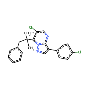 CCOC(=O)C(C)(Cc1ccccc1)c1c(Cl)cnc2c(-c3ccc(Cl)cc3)cnn12